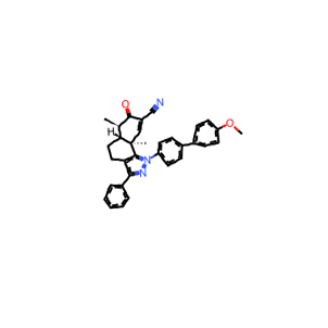 COc1ccc(-c2ccc(-n3nc(-c4ccccc4)c4c3[C@]3(C)C=C(C#N)C(=O)[C@H](C)[C@H]3CC4)cc2)cc1